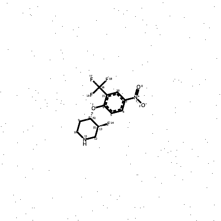 O=[N+]([O-])c1ccc(O[C@H]2CCNC[C@@H]2F)c(C(F)(F)F)c1